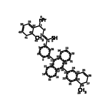 CCCC(C/C=C(\S)c1cccc(-c2c3ccccc3c(-c3ccc4c(c3)C=CCC4C)c3ccccc23)c1)C1=CC=CCC1C